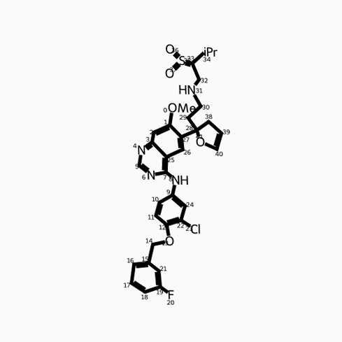 COc1cc2ncnc(Nc3ccc(OCc4cccc(F)c4)c(Cl)c3)c2cc1C1(CCNCC(C(C)C)=S(=O)=O)CC=CO1